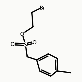 Cc1ccc(CS(=O)(=O)OCCBr)cc1